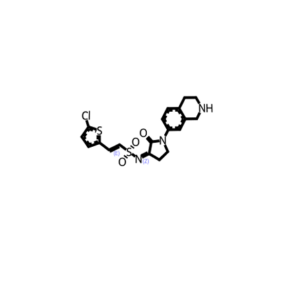 O=C1/C(=N\S(=O)(=O)/C=C/c2ccc(Cl)s2)CCN1c1ccc2c(c1)CNCC2